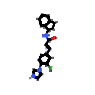 O=C(/C=C/c1ccc(-n2ccnc2)c(Cl)c1)NC1CCc2ccccc21